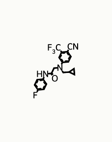 N#Cc1ccc(N(CC(=O)Nc2ccc(F)cc2)CC2CC2)cc1C(F)(F)F